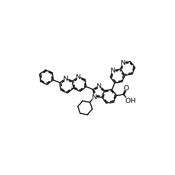 O=C(O)c1ccc2c(nc(-c3cnc4nc(-c5ccccc5)ccc4c3)n2C2CCCCC2)c1-c1cnc2ncccc2c1